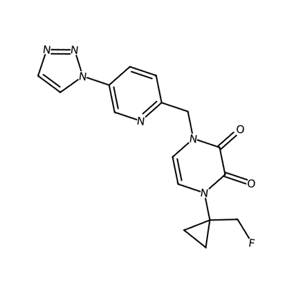 O=c1c(=O)n(C2(CF)CC2)ccn1Cc1ccc(-n2ccnn2)cn1